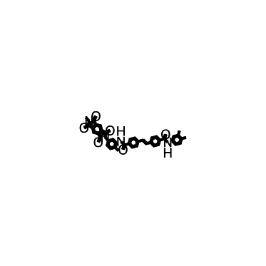 Cc1ccc(NC(=O)c2ccc(/C=C/c3ccc(C(=O)Nc4cc(-n5c(=O)c6cc7c(=O)n(C)c(=O)c7cc6c5=O)ccc4C)cc3)cc2)cc1C